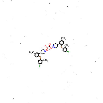 Cc1ccc(Sc2ccc(F)cc2C)c(C2CCN(OC(=O)C(=O)ON3CCC(c4cc(C)ccc4Sc4ccc(F)cc4C)CC3)CC2)c1